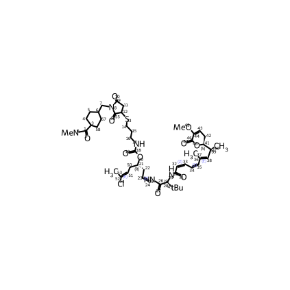 CNC(=O)C1CCC(CN2C(=O)CC(SCCCNC(=O)O[C@H](C/C=C\NC(=O)[C@@H](NC(=O)\C=C/C=C\C(C)=C\[C@H](C)[C@@H]3CC=C(OC)C(=O)O3)C(C)(C)C)C/C=C(\C)Cl)C2=O)CC1